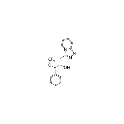 OC(Cc1nnc2ccccn12)C(OC(F)(F)F)c1ccccc1